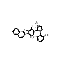 Cc1cccc(C)c1-n1cc[n+](C)c1-c1ccc2c(oc3c4ccccc4ccc23)c1C